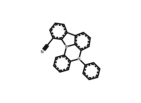 N#Cc1cccc2c1B1c3ccccc3N(c3ccccc3)c3cccc-2c31